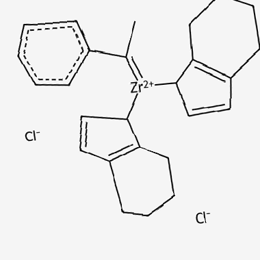 C[C](c1ccccc1)=[Zr+2]([CH]1C=CC2=C1CCCC2)[CH]1C=CC2=C1CCCC2.[Cl-].[Cl-]